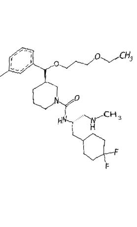 CCOCCCOC(c1cccc(F)c1)[C@@H]1CCCN(C(=O)N[C@H](CNC)CC2CCC(F)(F)CC2)C1